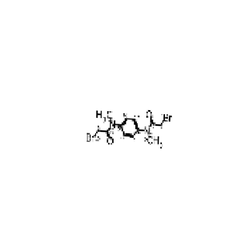 CN(C(=O)CBr)c1ccc(N(C)C(=O)CBr)cc1